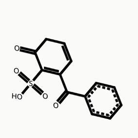 O=C1CC=CC(C(=O)c2ccccc2)=C1S(=O)(=O)O